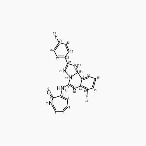 O=c1nccccc1Nc1nc2c(F)cccc2c2nc(-c3ccc(F)cc3)nn12